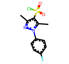 Cc1nn(-c2ccc(F)cc2)c(C)c1S(=O)(=O)Cl